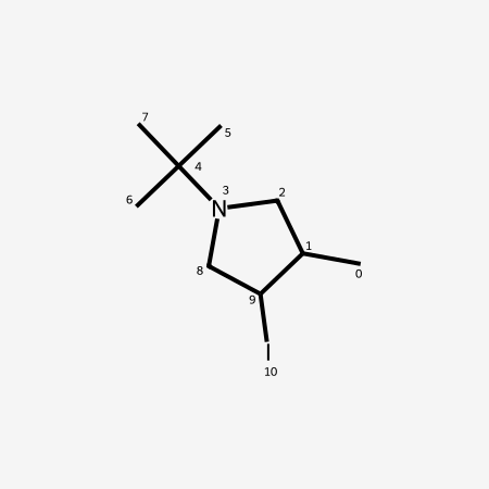 CC1CN(C(C)(C)C)CC1I